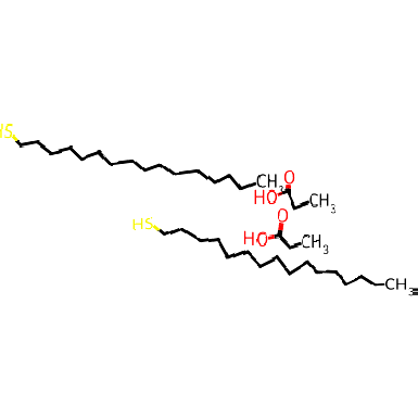 CCC(=O)O.CCC(=O)O.CCCCCCCCCCCCCCCCS.CCCCCCCCCCCCCCCCS